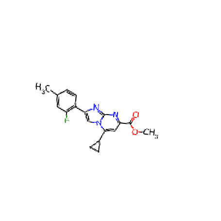 COC(=O)c1cc(C2CC2)n2cc(-c3ccc(C)cc3F)nc2n1